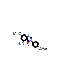 COc1ccc(-n2cnc3cc(OC)cc(N)c3c2=O)cc1